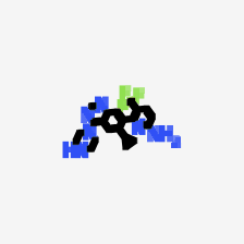 Nc1ccc(C(F)(F)F)c(-c2cc3ncnc(N4CCNCC4)c3cc2C2CC2)n1